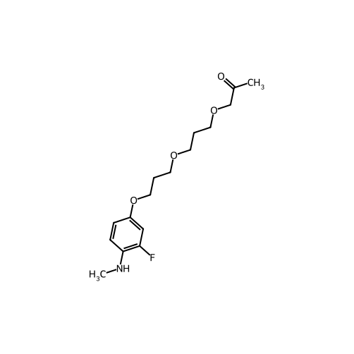 CNc1ccc(OCCCOCCCOCC(C)=O)cc1F